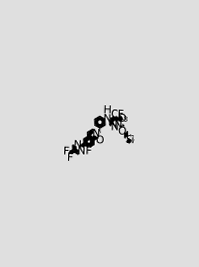 C[Si](C)(C)CCOCn1ncc(N[C@H]2CCC[C@@H](Cn3ccc4cc(-c5ncc(C(F)F)cn5)c(F)cc4c3=O)C2)c(C(F)(F)F)c1=O